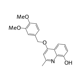 COc1ccc(COc2cc(C)nc3c(O)cccc23)cc1OC